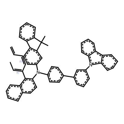 C=C/C=C\C(=C/C)c1c(N(c2ccc(-c3cccc(-n4c5ccccc5c5ccccc54)c3)cc2)c2ccc3c(c2)C(C)(C)c2ccccc2-3)ccc2ccccc12